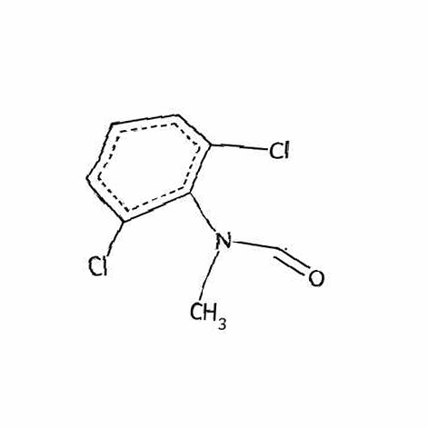 CN([C]=O)c1c(Cl)cccc1Cl